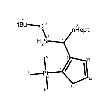 CCCCCCCC([SiH2]OC(C)(C)C)C1=[C]([Pt]([CH3])([CH3])[CH3])CC=C1